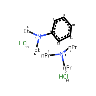 CCCN(CCC)CCC.CCN(CC)c1ccccc1.Cl.Cl